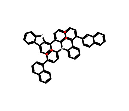 c1ccc(-c2ccccc2N(c2ccc(-c3cccc4ccccc34)cc2)c2ccccc2-c2cccc3c2sc2ccccc23)c(-c2ccc3ccccc3c2)c1